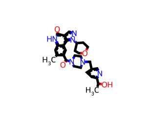 Cc1cc2[nH]c(=O)c3cnn(C4CCOCC4)c3c2cc1C(=O)N1CCN(Cc2ccc(C(C)O)nc2)CC1